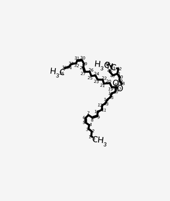 CCCCC/C=C\C/C=C\CCCCCCCCC1(CCCCCCCC/C=C\C/C=C\CCCCC)OCC(CC2CCN(C)CC2)O1